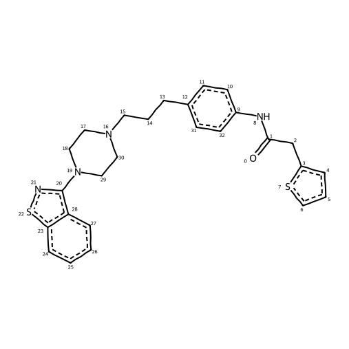 O=C(Cc1cccs1)Nc1ccc(CCCN2CCN(c3nsc4ccccc34)CC2)cc1